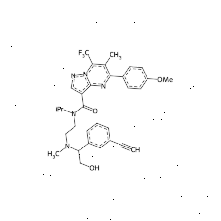 C#Cc1cccc(C(CO)N(C)CCN(C(=O)c2cnn3c(C(F)(F)F)c(C)c(-c4ccc(OC)cc4)nc23)C(C)C)c1